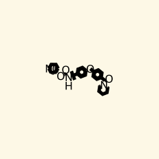 CC(C)(NC(=O)OC1CCN2CCC1CC2)c1ccc(Oc2ccc(C(=O)N3CCCCC3)cc2)cc1